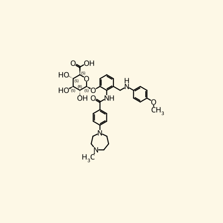 COc1ccc(NCc2cccc(O[C@@H]3O[C@H](C(=O)O)[C@@H](O)[C@H](O)[C@H]3O)c2NC(=O)c2ccc(N3CCCN(C)CC3)cc2)cc1